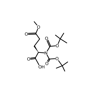 COC(=O)CC[C@H](C(=O)O)N(C(=O)OC(C)(C)C)C(=O)OC(C)(C)C